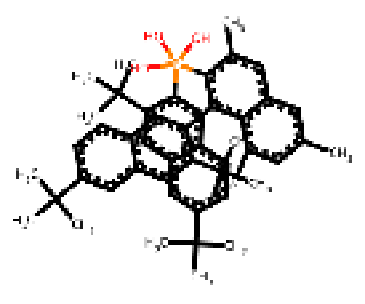 Cc1cc(C)c2c(-c3cc4ccc(C(C)(C)C)cc4cc3C(C)(C)C)c(P(O)(O)(O)c3cc4ccc(C(C)(C)C)cc4cc3C(C)(C)C)c(C)cc2c1